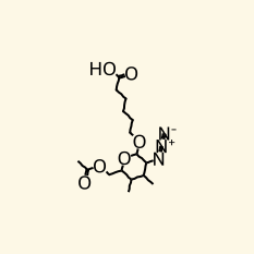 CC(=O)OCC1OC(OCCCCCC(=O)O)C(N=[N+]=[N-])C(C)C1C